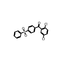 O=C(c1ccc(S(=O)(=O)c2ccccc2)cc1)c1cc(Cl)ccc1Cl